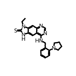 CCn1c(=S)[nH]c2cc3c(NCc4ccccc4N4CCCC4)ncnc3cc21